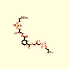 CCCCCCCCCCCCOS(=O)(=O)OCC(O)COC(=O)c1cccc(C(=O)OCC(O)COS(=O)(=O)OCCCCCCCCCCCC)c1